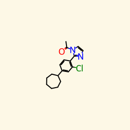 CC(=O)n1ccnc1-c1ccc(C2CCCCCC2)cc1Cl